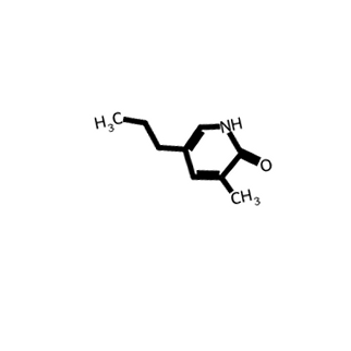 CCCc1c[nH]c(=O)c(C)c1